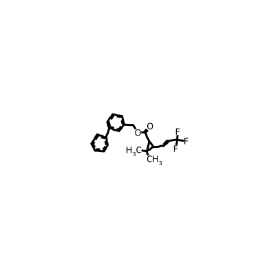 CC1(C)C(C=CC(F)(F)F)C1C(=O)OCc1cccc(-c2ccccc2)c1